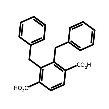 O=C(O)c1ccc(C(=O)O)c(Cc2ccccc2)c1Cc1ccccc1